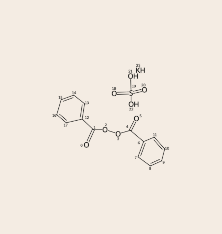 O=C(OOC(=O)c1ccccc1)c1ccccc1.O=S(=O)(O)O.[KH]